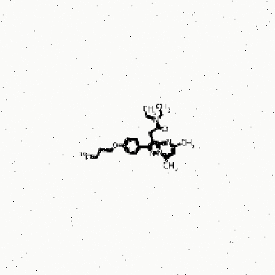 CCN(CC)C(=O)Cc1c(-c2ccc(OCCC[18F])cc2)nn2c(C)cc(C)nc12